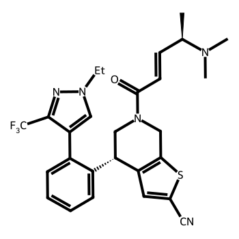 CCn1cc(-c2ccccc2[C@@H]2CN(C(=O)/C=C/[C@@H](C)N(C)C)Cc3sc(C#N)cc32)c(C(F)(F)F)n1